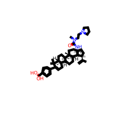 C=C(C)[C@@H]1CC[C@]2(NC(=O)N(C)CCN3CCCC3)CC[C@]3(C)[C@H](CC[C@@H]4[C@@]5(C)CC=C(c6ccc(C(O)O)cc6)C(C)(C)[C@@H]5CC[C@]43C)[C@@H]12